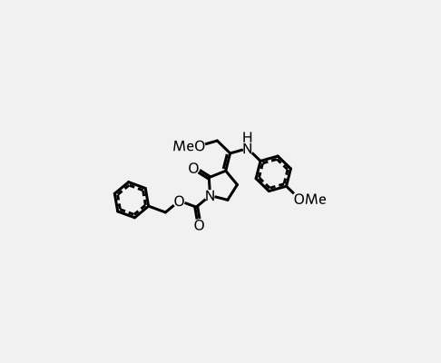 COCC(Nc1ccc(OC)cc1)=C1CCN(C(=O)OCc2ccccc2)C1=O